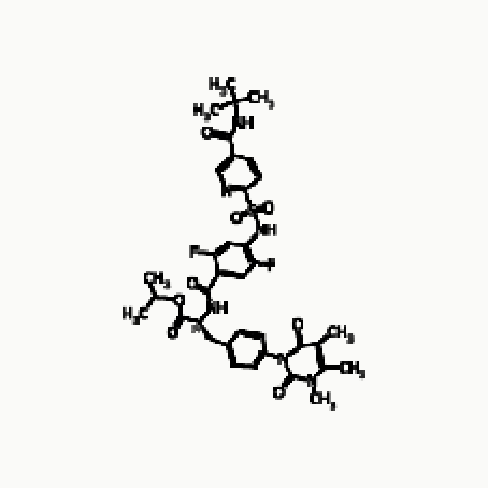 Cc1c(C)n(C)c(=O)n(-c2ccc(C[C@H](NC(=O)c3cc(F)c(NS(=O)(=O)c4ccc(C(=O)NC(C)(C)C)cn4)cc3F)C(=O)OC(C)C)cc2)c1=O